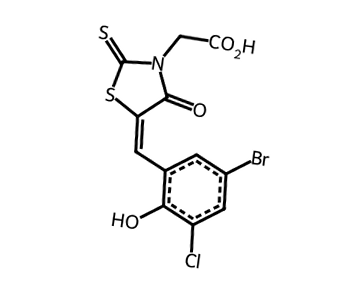 O=C(O)CN1C(=O)/C(=C\c2cc(Br)cc(Cl)c2O)SC1=S